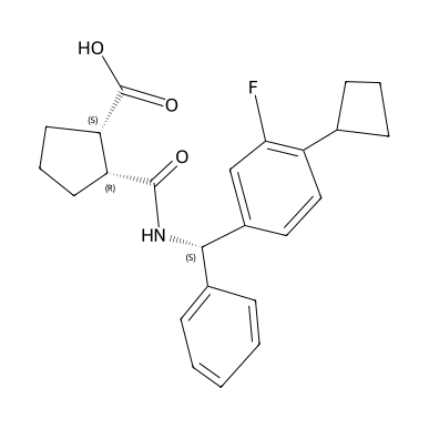 O=C(O)[C@H]1CCC[C@H]1C(=O)N[C@@H](c1ccccc1)c1ccc(C2CCC2)c(F)c1